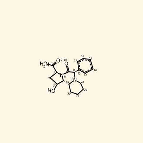 NC(=O)C1CC(O)CN1C(=O)[C@@H](c1ccccc1)N1CCCCC1